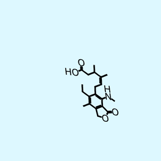 CCc1c(C)c2c(c(NC)c1CC=C(C)C(C)CC(=O)O)C(=O)OC2